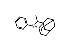 CC(Nc1ccccc1)C12CC3CC(CC(C3)C1)C2